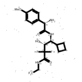 COc1ccc([C@H](N)C(=O)N[C@@H](C2CCC2)[C@@H](O)C(F)(F)C(=O)NCC(F)(F)F)cc1